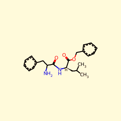 CC(C)C[C@@H](NC(=O)C(N)Cc1ccccc1)C(=O)OCc1ccccc1